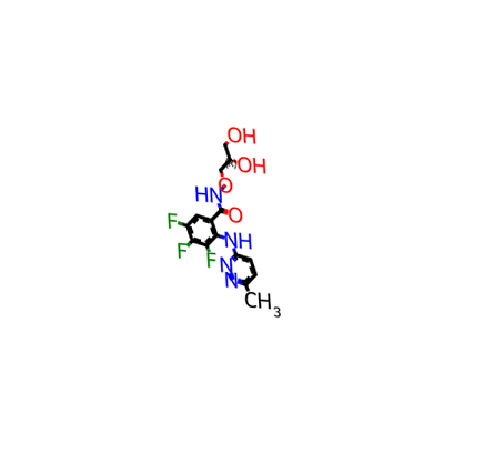 Cc1ccc(Nc2c(C(=O)NOC[C@H](O)CO)cc(F)c(F)c2F)nn1